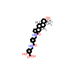 CC1(C)C(O)CCC2(C)C1CCC1(C)C3CCC4(C(=O)NCc5cccc(C(=O)NCc6ccc(O)c(C(=O)O)c6)c5)CCCC4C3CCC12